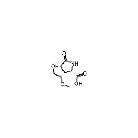 COCCO.O=C1CC[C@@H](C(=O)O)N1